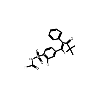 CCC(=O)NS(=O)(=O)c1ccc(C2=C(c3ccccc3)C(=O)C(C)(C)O2)cc1Cl